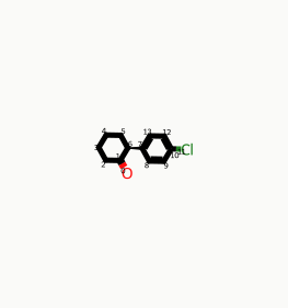 O=C1CCCC[C@H]1c1ccc(Cl)cc1